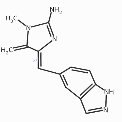 C=c1/c(=C/c2ccc3[nH]ncc3c2)nc(N)n1C